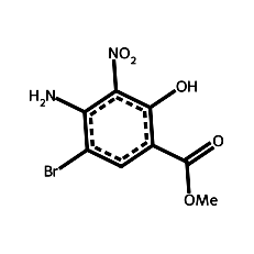 COC(=O)c1cc(Br)c(N)c([N+](=O)[O-])c1O